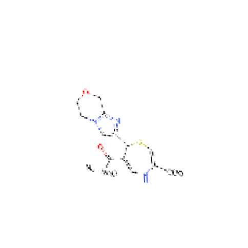 COC(=O)C1=CNC(C(=O)[O-])=CSC1c1cn2c(n1)COCC2.[Na+]